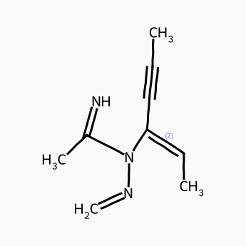 C=NN(C(C)=N)/C(C#CC)=C\C